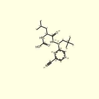 CC(C)CC(NC(=O)O)C(=O)NN(CC(C)(C)C)c1cncc(C#N)n1